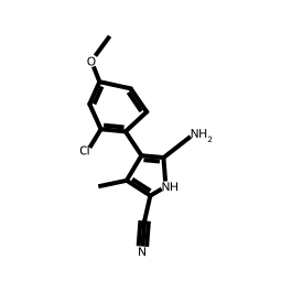 COc1ccc(-c2c(N)[nH]c(C#N)c2C)c(Cl)c1